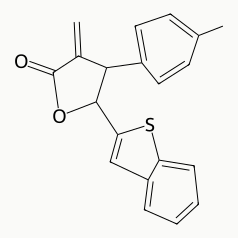 C=C1C(=O)OC(c2cc3ccccc3s2)C1c1ccc(C)cc1